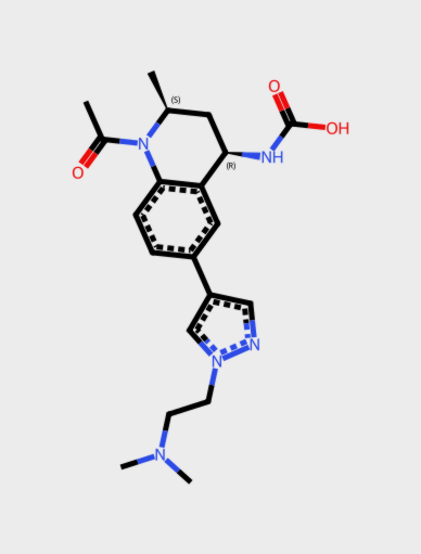 CC(=O)N1c2ccc(-c3cnn(CCN(C)C)c3)cc2[C@H](NC(=O)O)C[C@@H]1C